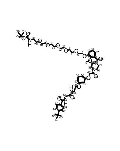 COc1c(OCCOCCOCCOCCOCCOCCNC(=O)OC(C)(C)C)cccc1C(=O)N1CCN(C(=O)COc2cccc(OCCNC(=O)CNC(=O)c3ccc(C(C)(C)C)cc3)c2)CC1